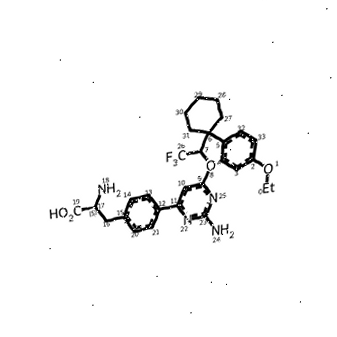 CCOc1ccc(C2(C(Oc3cc(-c4ccc(C[C@H](N)C(=O)O)cc4)nc(N)n3)C(F)(F)F)CCCCC2)cc1